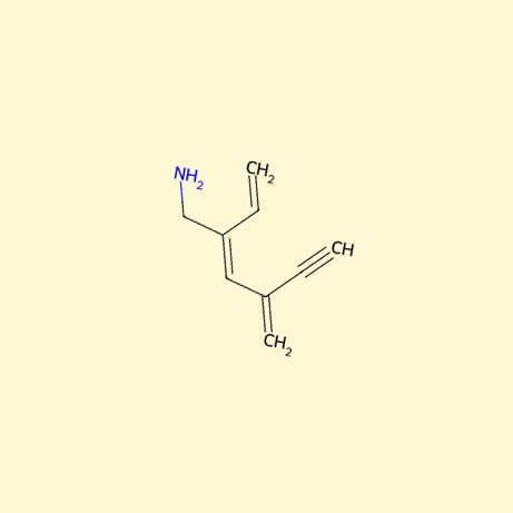 C#CC(=C)/C=C(\C=C)CN